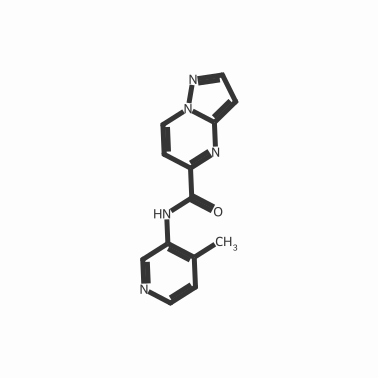 Cc1ccncc1NC(=O)c1ccn2nccc2n1